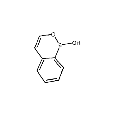 OB1OC=Cc2ccccc21